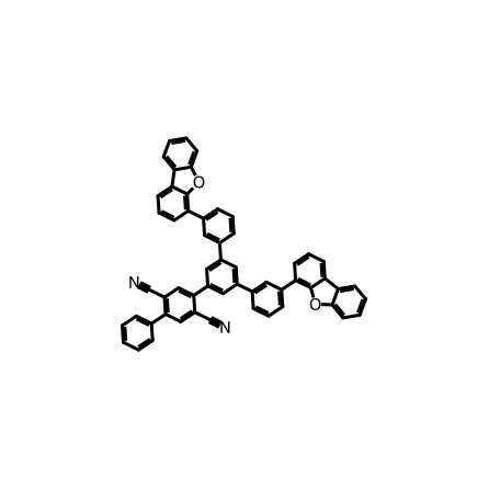 N#Cc1cc(-c2cc(-c3cccc(-c4cccc5c4oc4ccccc45)c3)cc(-c3cccc(-c4cccc5c4oc4ccccc45)c3)c2)c(C#N)cc1-c1ccccc1